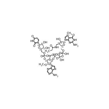 CCC(=O)NC[C@H]1[C@@H](O)[C@H](n2c[n+](C)c3c(=O)[nH]c(N)nc32)O[C@@H]1COP(=O)(O)OP(=O)(O)OP(=O)(O)OC[C@H]1O[C@@H](n2cnc3c(N)ncnc32)[C@H](OC)[C@@H]1OP(=O)(O)OC[C@H]1O[C@@H](n2ccc(=O)[nH]c2=O)[C@H](O)[C@@H]1O